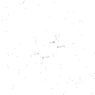 [CH2]CCOC(=O)C(=C)C.[CH2]OC(=O)C(=C)C